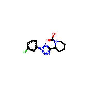 O=C(O)N1CCCCC1c1nnn(-c2cccc(Cl)c2)n1